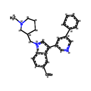 COc1ccc2c(c1)c(-c1cncc(-c3ccccc3)c1)cn2CC1CCCN(C)C1